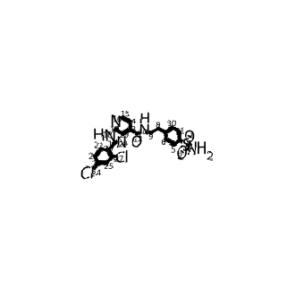 NS(=O)(=O)c1ccc(CCNC(=O)c2ccnc3[nH]c(-c4ccc(Cl)cc4Cl)nc23)cc1